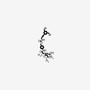 CC(C)[C@H](NC(=O)O)C(=O)N[C@@H](C)C(=O)Nc1ccc(COC(=O)NCC#Cc2cc(CBr)cc(CBr)c2)cc1